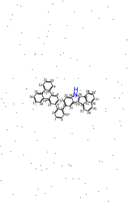 c1ccc(-c2ccc3c4ccccc4c4ccccc4c3c2)c(-c2ccc3[nH]c4c(c3c2)-c2cccc3cccc-4c23)c1